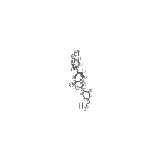 C=CC1CCC(C2Cc3ccc(-c4ccc(OCC)nn4)cc3C(=O)O2)CC1